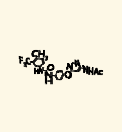 CC(=O)Nc1cc(Oc2ccc(NC(=O)Nc3ccc(C)c(C(F)(F)F)c3)cc2)ncn1